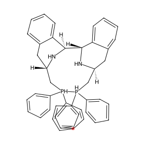 c1ccc([PH]2(c3ccccc3)C[C@@H]3Cc4ccccc4[C@H](N3)[C@H]3N[C@@H](Cc4ccccc43)C[PH]2(c2ccccc2)c2ccccc2)cc1